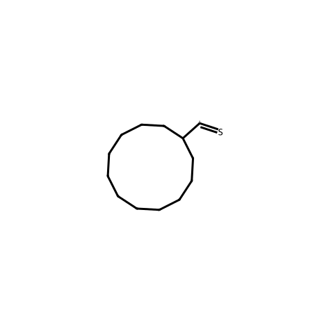 S=[C]C1CCCCCCCCCCC1